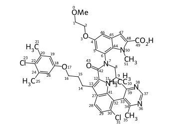 COCCOc1cc(N2CC(C)n3c(c(CCCOc4cc(C)c(Cl)c(C)c4)c4ccc(Cl)c(-c5c(C)ncnc5C)c43)C2=O)c2c(c1)cc(C(=O)O)n2C